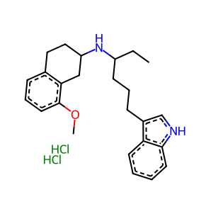 CCC(CCCc1c[nH]c2ccccc12)NC1CCc2cccc(OC)c2C1.Cl.Cl